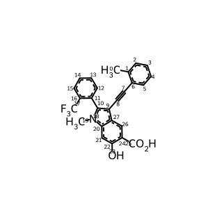 Cc1ccccc1C#Cc1c(-c2ccccc2C(F)(F)F)n(C)c2cc(O)c(C(=O)O)cc12